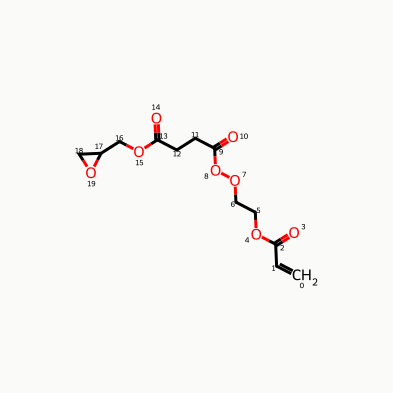 C=CC(=O)OCCOOC(=O)CCC(=O)OCC1CO1